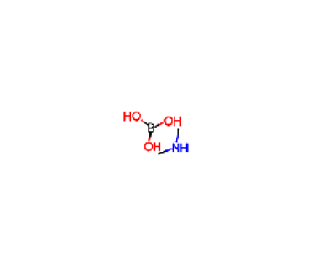 CNC.OB(O)O